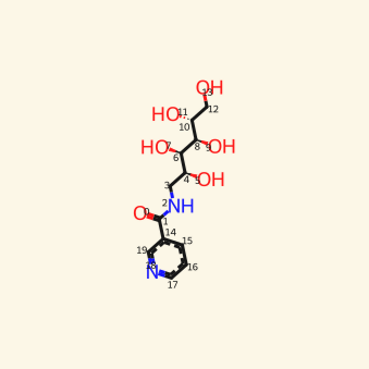 O=C(NC[C@H](O)[C@@H](O)[C@H](O)[C@H](O)CO)c1cccnc1